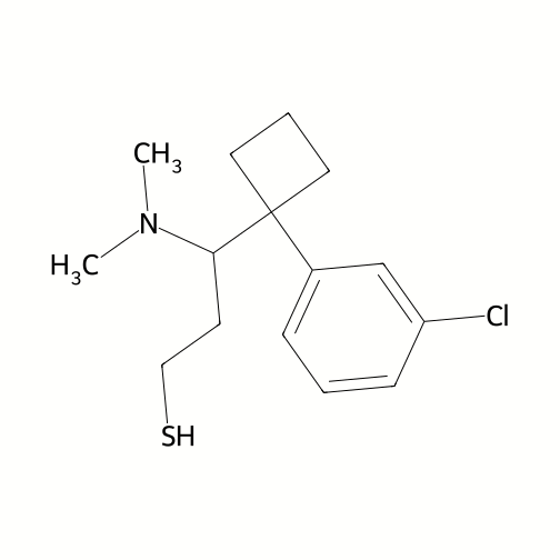 CN(C)C(CCS)C1(c2cccc(Cl)c2)CCC1